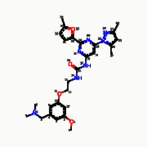 COc1cc(CN(C)C)cc(OCCNC(=O)Nc2cc(-n3nc(C)cc3C)nc(-c3ccc(C)o3)n2)c1